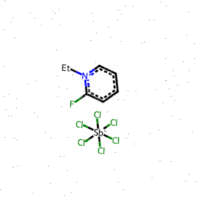 CC[n+]1ccccc1F.[Cl][Sb-]([Cl])([Cl])([Cl])([Cl])[Cl]